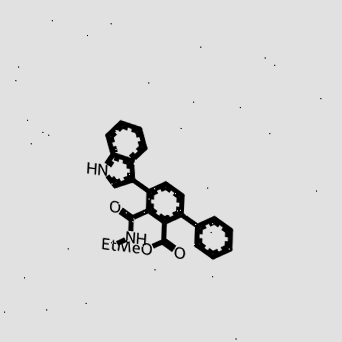 CCNC(=O)c1c(-c2c[nH]c3ccccc23)ccc(-c2ccccc2)c1C(=O)OC